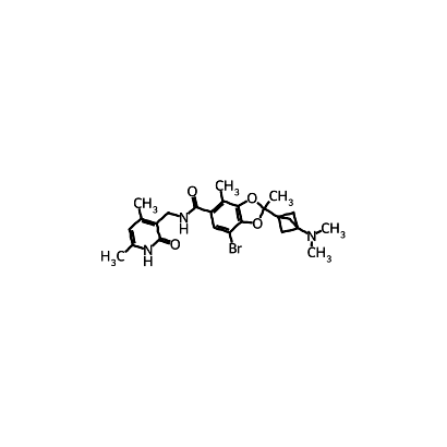 Cc1cc(C)c(CNC(=O)c2cc(Br)c3c(c2C)OC(C)(C24CC(N(C)C)(C2)C4)O3)c(=O)[nH]1